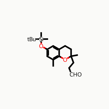 Cc1cc(O[Si](C)(C)C(C)(C)C)cc2c1OC(C)(CCC=O)CC2